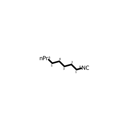 [C-]#[N+]CCCCCCC[CH2]